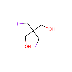 OCC(CO)(CI)CI